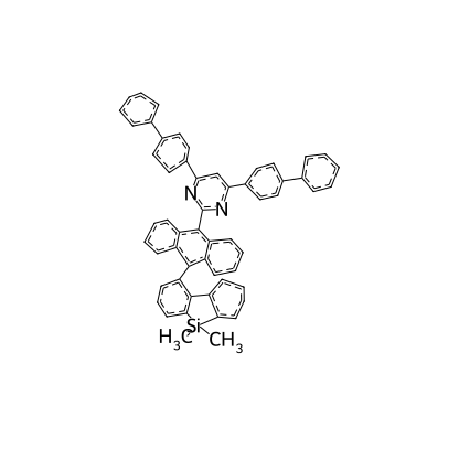 C[Si]1(C)c2ccccc2-c2c(-c3c4ccccc4c(-c4nc(-c5ccc(-c6ccccc6)cc5)cc(-c5ccc(-c6ccccc6)cc5)n4)c4ccccc34)cccc21